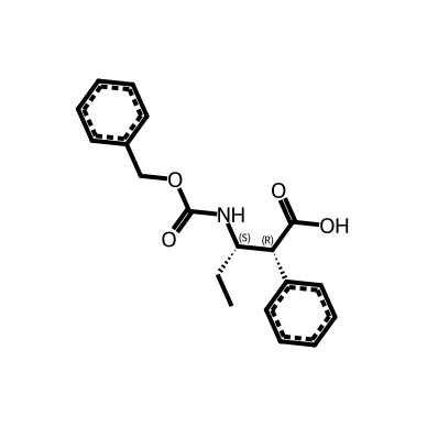 CC[C@H](NC(=O)OCc1ccccc1)[C@H](C(=O)O)c1ccccc1